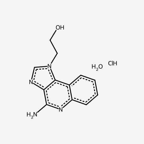 Cl.Nc1nc2ccccc2c2c1ncn2CCO.O